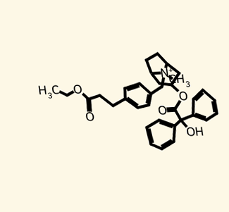 CCOC(=O)CCc1ccc(C[N+]2(C)C3CCC2CC(OC(=O)C(O)(c2ccccc2)c2ccccc2)C3)cc1